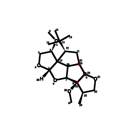 CO[C@H]1CO[C@H]2O[C@]34COC5C[C@@H](C(C)(C)C)C21C53CC1OC[C@@H](C)[C@@]14OC